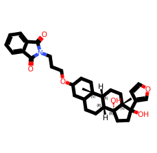 C[C@]12CCC(OCCCN3C(=O)c4ccccc4C3=O)CC1CC[C@@H]1[C@H]2CC[C@]2(C)C(O)(c3ccoc3)CC[C@@]12O